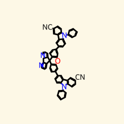 N#Cc1ccc2c(c1)c1cc(-c3ccc4c(c3)Oc3cc(-c5ccc6c(c5)c5cc(C#N)ccc5n6-c5ccccc5)ccc3C43c4cccnc4-c4ncccc43)ccc1n2-c1ccccc1